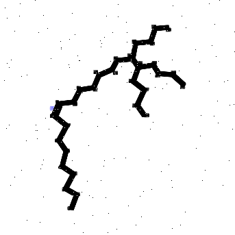 CCCCCCCC/C=C\CCCCCCC(CCCC)[C](CCCC)CCCC